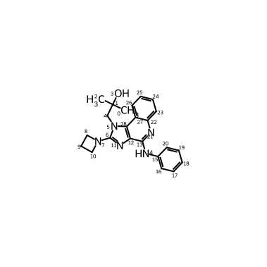 CC(C)(O)Cn1c(N2CCC2)nc2c(Nc3ccccc3)nc3ccccc3c21